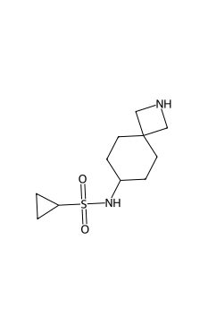 O=S(=O)(NC1CCC2(CC1)CNC2)C1CC1